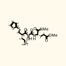 CNC(=O)[C@H](CCC(=O)OC)NC(=O)N(O)C(=O)[C@H](CCC(C)C)CSc1cccs1